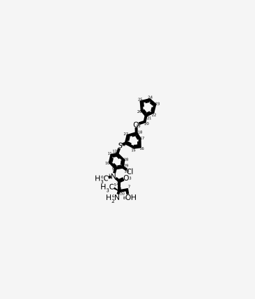 CN(C(=O)[C@@](C)(N)CO)c1ccc(Sc2cccc(OCc3ccccc3)c2)cc1Cl